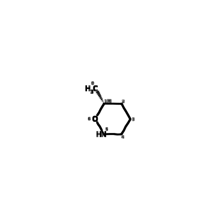 C[C@@H]1CCCNO1